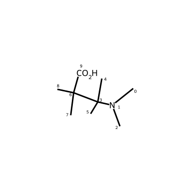 CN(C)C(C)(C)C(C)(C)C(=O)O